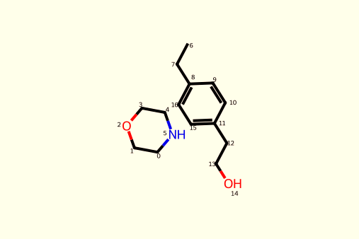 C1COCCN1.CCc1ccc(CCO)cc1